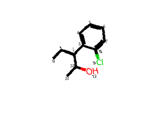 CCC(c1ccccc1Cl)C(C)O